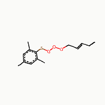 CC/C=C/COOOSc1c(C)cc(C)cc1C